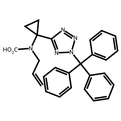 C=CCN(C(=O)O)C1(c2nnn(C(c3ccccc3)(c3ccccc3)c3ccccc3)n2)CC1